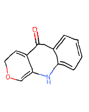 O=c1c2c([nH]c3ccccc13)=COCC=2